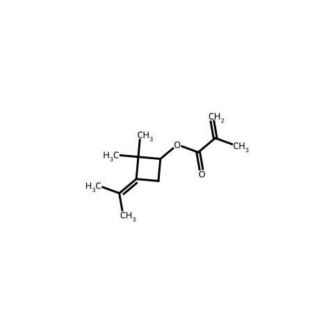 C=C(C)C(=O)OC1CC(=C(C)C)C1(C)C